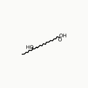 CCCCCCC(O)C/C=C/CCCCCCCCCCCC(=O)O